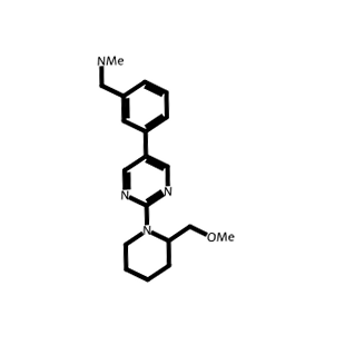 CNCc1cccc(-c2cnc(N3CCCCC3COC)nc2)c1